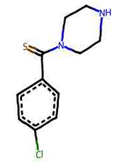 S=C(c1ccc(Cl)cc1)N1CCNCC1